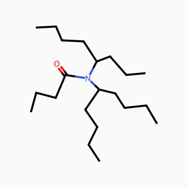 CCCCC(CCC)N(C(=O)CCC)C(CCCC)CCCC